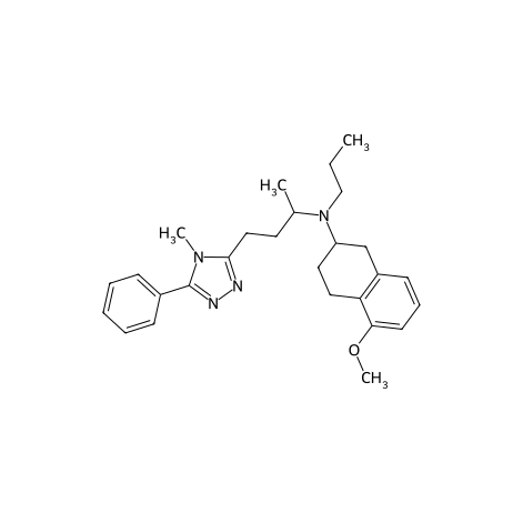 CCCN(C(C)CCc1nnc(-c2ccccc2)n1C)C1CCc2c(cccc2OC)C1